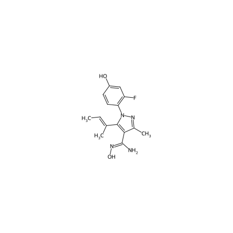 CC=C(C)c1c(C(N)=NO)c(C)nn1-c1ccc(O)cc1F